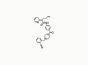 C=CCC/C(=C1\CC=CC=N1)[S+]([O-])Nc1ccc(C(=O)N2CCN(Cc3ccccc3C#N)CC2)cc1